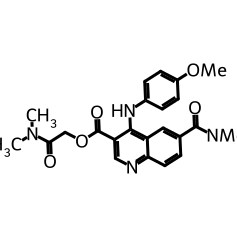 CNC(=O)c1ccc2ncc(C(=O)OCC(=O)N(C)C)c(Nc3ccc(OC)cc3)c2c1